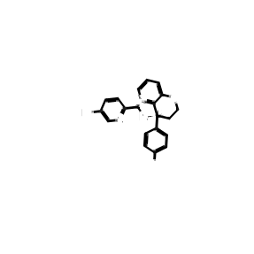 O=C(N[C@]1(c2ccc(C(F)(F)F)cc2)CCOc2cccnc21)c1ccc(O)cn1